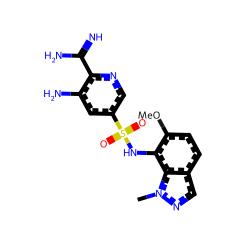 COc1ccc2cnn(C)c2c1NS(=O)(=O)c1cnc(C(=N)N)c(N)c1